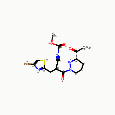 COC(=O)[C@@H]1CCCN(C(=O)C(C#[N+]C(=O)OC(C)(C)C)Cc2nc(Br)cs2)N1